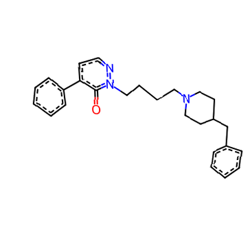 O=c1c(-c2ccccc2)ccnn1CCCCN1CCC(Cc2ccccc2)CC1